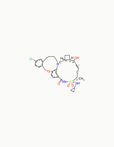 C[C@H]1C/C=C\[C@H](O)[C@@H]2CC[C@H]2CN2CCCCc3cc(Cl)ccc3COc3ccc(cc32)C(=O)NS(=O)(=O)[C@H]1NC1CC1